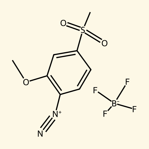 COc1cc(S(C)(=O)=O)ccc1[N+]#N.F[B-](F)(F)F